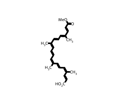 COC(=O)C=CC(C)=CC=CC(C)=CC=CC=C(C)C=CC=C(C)C=CC(=O)O